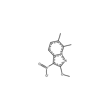 COc1nn2c(C)c(C)ccc2c1[N+](=O)[O-]